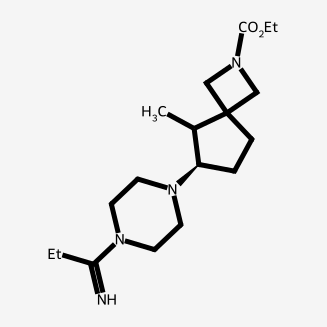 CCOC(=O)N1CC2(CC[C@@H](N3CCN(C(=N)CC)CC3)C2C)C1